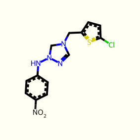 O=[N+]([O-])c1ccc(NN2CN(Cc3ccc(Cl)s3)C=N2)cc1